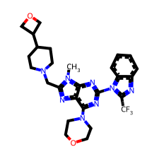 Cn1c(CN2CCC(C3COC3)CC2)nc2c(N3CCOCC3)nc(-n3c(C(F)(F)F)nc4ccccc43)nc21